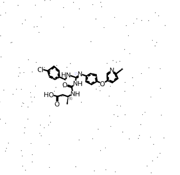 Cc1ccc(Oc2ccc(/N=C(/NCc3ccc(Cl)cc3)NC(=O)N[C@@H](C)CC(=O)O)cc2)cn1